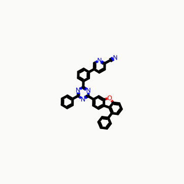 N#Cc1ccc(-c2cccc(-c3nc(-c4ccccc4)nc(-c4ccc5c(c4)oc4cccc(-c6ccccc6)c45)n3)c2)cn1